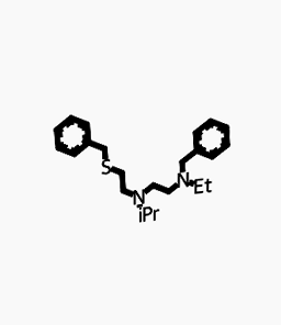 CCN(CCN(CCSCc1ccccc1)C(C)C)Cc1ccccc1